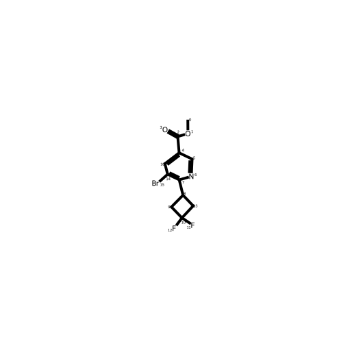 COC(=O)c1cnc(C2CC(F)(F)C2)c(Br)c1